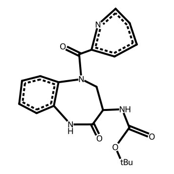 CC(C)(C)OC(=O)NC1CN(C(=O)c2ccccn2)c2ccccc2NC1=O